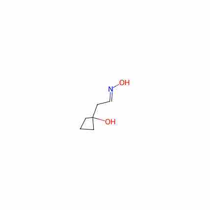 ON=CCC1(O)CCC1